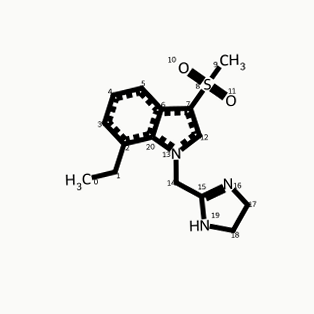 CCc1cccc2c(S(C)(=O)=O)cn(CC3=NCCN3)c12